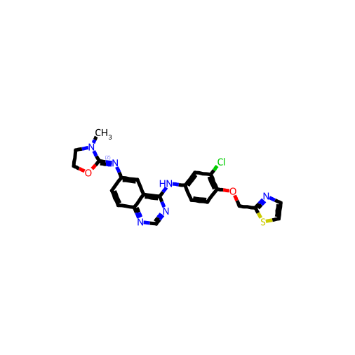 CN1CCO/C1=N\c1ccc2ncnc(Nc3ccc(OCc4nccs4)c(Cl)c3)c2c1